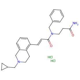 Cl.Cl.NC(=O)CCN(Cc1ccccc1)C(=O)/C=C/c1cccc2c1CCN(CC1CC1)C2